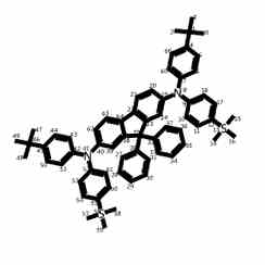 CC(C)(C)c1ccc(N(c2ccc(S(C)(C)C)cc2)c2ccc3c(c2)C(c2ccccc2)(c2ccccc2)c2cc(N(c4ccc(C(C)(C)C)cc4)c4ccc(S(C)(C)C)cc4)ccc2-3)cc1